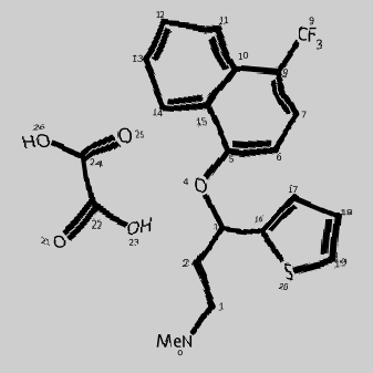 CNCCC(Oc1ccc(C(F)(F)F)c2ccccc12)c1cccs1.O=C(O)C(=O)O